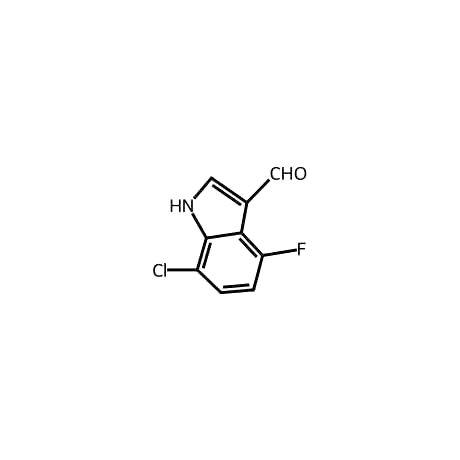 O=Cc1c[nH]c2c(Cl)ccc(F)c12